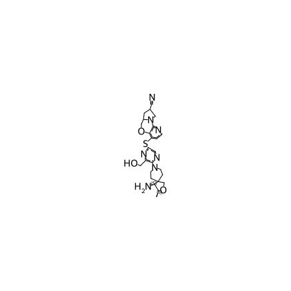 C[C@@H]1OCC2(CCN(c3ncc(Sc4ccnc5c4OCC4CC(C#N)CN54)nc3CO)CC2)[C@@H]1N